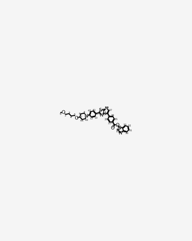 COCCCCOC1CCN(c2ccc(-c3nn4c(-c5ccc(C(=O)On6nnc7ccccc76)cc5)cnc4s3)cc2)CC1